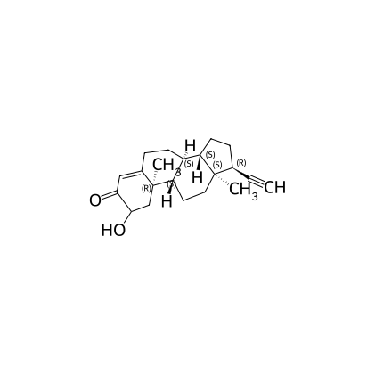 C#C[C@@H]1CC[C@H]2[C@@H]3CCC4=CC(=O)C(O)C[C@]4(C)[C@H]3CC[C@]12C